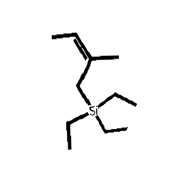 CC=C(C)C[Si](CC)(CC)CC